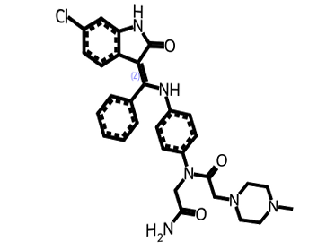 CN1CCN(CC(=O)N(CC(N)=O)c2ccc(N/C(=C3\C(=O)Nc4cc(Cl)ccc43)c3ccccc3)cc2)CC1